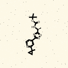 C[C@H](NC(=O)OC(C)(C)C)c1nc(-c2ccnc(C3(C)CC3)c2)no1